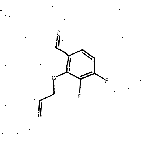 C=CCOc1c(C=O)ccc(F)c1F